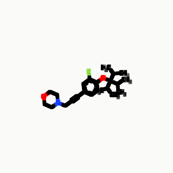 CC(C)[Si](Oc1ccc(C#CCN2CCOCC2)cc1F)(C(C)C)C(C)C